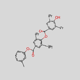 Cc1cccc(OC(=O)c2cc(C(C)C)c(OC(=O)c3cc(C(C)C)c(O)c(C(C)C)c3)c(C(C)C)c2)c1